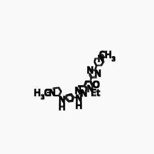 CCn1c(=O)c(-c2cnc(C3CCN(C)CC3)nc2)cc2cnc(Nc3ccc(NC4CCCN(C)C4)cc3)nc21